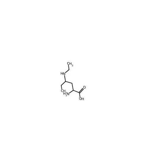 CCNC(CC)CC(N)C(=O)O